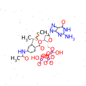 CSSC(C)c1cc(NC(C)=O)ccc1C(=O)OC1C[C@H](n2cnc3c(=O)[nH]c(N)nc32)O[C@@H]1COP(=O)(O)OP(=O)(O)OP(=O)(O)O